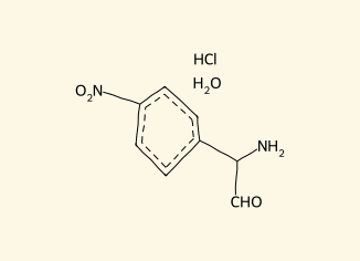 Cl.NC(C=O)c1ccc([N+](=O)[O-])cc1.O